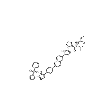 COC(=O)N[C@H](C(=O)N1CCC[C@H]1c1ncc(-c2ccc3cc(-c4ccc(-c5cnc(-c6cccn6S(=O)(=O)c6ccccc6)[nH]5)cc4)ccc3c2)[nH]1)C(C)C